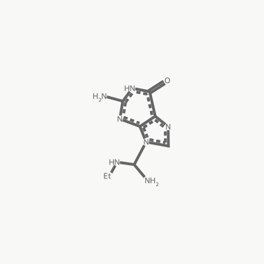 CCNC(N)n1cnc2c(=O)[nH]c(N)nc21